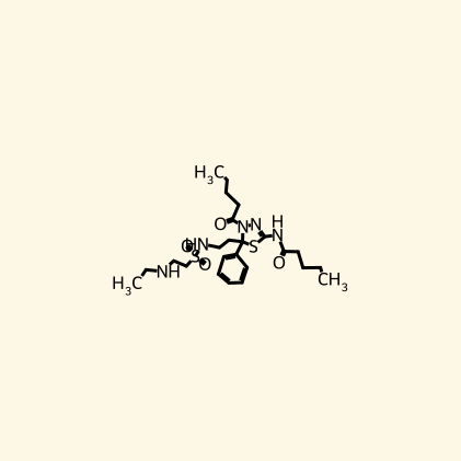 CCCCC(=O)NC1=NN(C(=O)CCCC)C(CCNS(=O)(=O)CCNCC)(c2ccccc2)S1